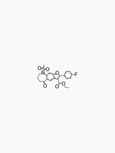 CCOC(=O)c1c(-c2ccc(F)cc2)oc2cc3c(cc12)C(=O)CCCN3S(C)(=O)=O